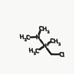 CN(C)[N+](C)(C)CCl